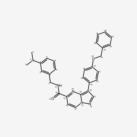 CN(C)c1cccc(CNC(=O)c2ccn3ncc(-c4ccc(OCc5ccccc5)cc4)c3n2)c1